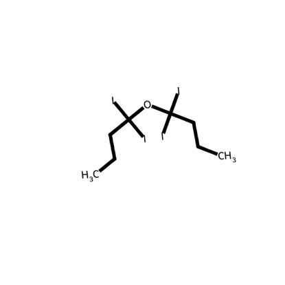 CCCC(I)(I)OC(I)(I)CCC